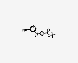 CN(c1cncc(C#N)c1)C1CN(C(=O)OC(C)(C)C)C1